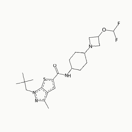 Cc1nn(CC(C)(C)C)c2sc(C(=O)NC3CCC(N4CC(OC(F)F)C4)CC3)cc12